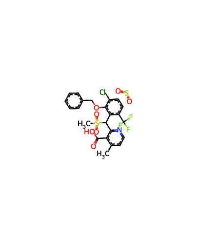 Cc1ccnc(C(c2c(C(F)(F)F)ccc(Cl)c2OCc2ccccc2)S(C)(=O)=O)c1C(=O)O.O=S=O